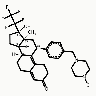 CN1CCN(Cc2ccc([C@H]3C[C@@]4(C)[C@@H](CC[C@@]4(O)C(F)(F)C(F)(F)F)[C@@H]4CCC5=CC(=O)CCC5=C43)cc2)CC1